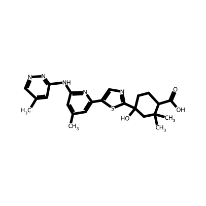 Cc1cnnc(Nc2cc(C)cc(-c3cnc(C4(O)CCC(C(=O)O)C(C)(C)C4)s3)n2)c1